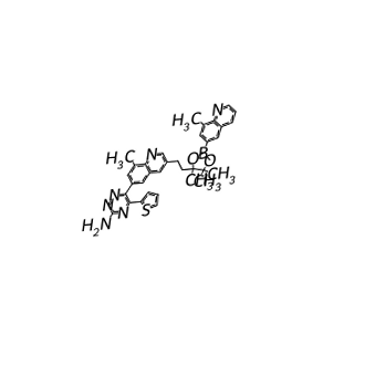 Cc1cc(B2OC(C)(C)C(C)(CCc3cnc4c(C)cc(-c5nnc(N)nc5-c5cccs5)cc4c3)O2)cc2cccnc12